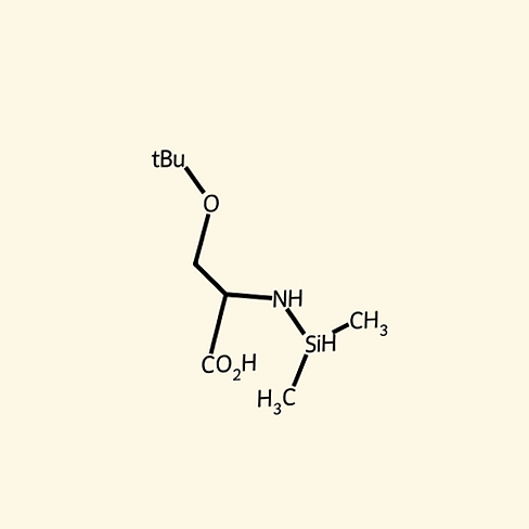 C[SiH](C)NC(COC(C)(C)C)C(=O)O